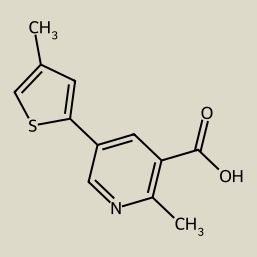 Cc1csc(-c2cnc(C)c(C(=O)O)c2)c1